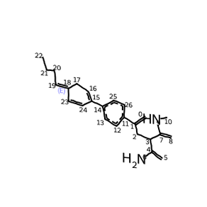 C=C(CC(C(=C)N)C(=C)NC)c1ccc(C2=CC/C(=C\CCC)C=C2)cc1